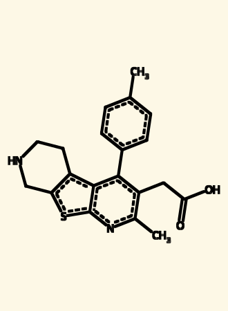 Cc1ccc(-c2c(CC(=O)O)c(C)nc3sc4c(c23)CCNC4)cc1